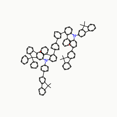 CC1(C)c2ccccc2-c2ccc(-c3ccc(N(c4ccc5c(c4)C(C)(C)c4ccccc4-5)c4cccc(-c5cccc(-c6ccc(-c7cccc(N(c8ccc(-c9ccc%10c(c9)C(C)(C)c9ccccc9-%10)cc8)c8ccc9c(c8)C(c8ccccc8)(c8ccccc8)c8ccccc8-9)c7-c7ccccc7)cc6)c5)c4-c4ccccc4)cc3)cc21